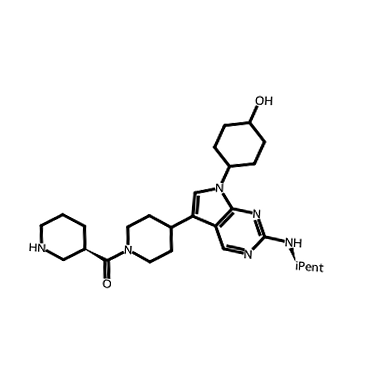 CCC[C@H](C)Nc1ncc2c(C3CCN(C(=O)[C@@H]4CCCNC4)CC3)cn(C3CCC(O)CC3)c2n1